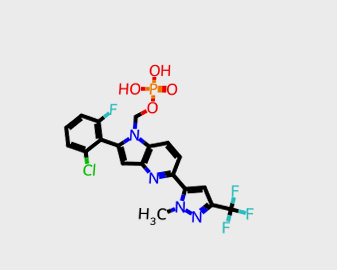 Cn1nc(C(F)(F)F)cc1-c1ccc2c(cc(-c3c(F)cccc3Cl)n2COP(=O)(O)O)n1